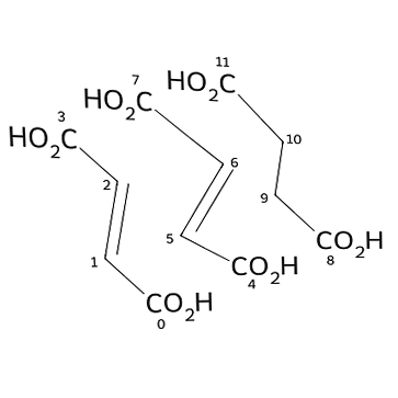 O=C(O)C=CC(=O)O.O=C(O)C=CC(=O)O.O=C(O)CCC(=O)O